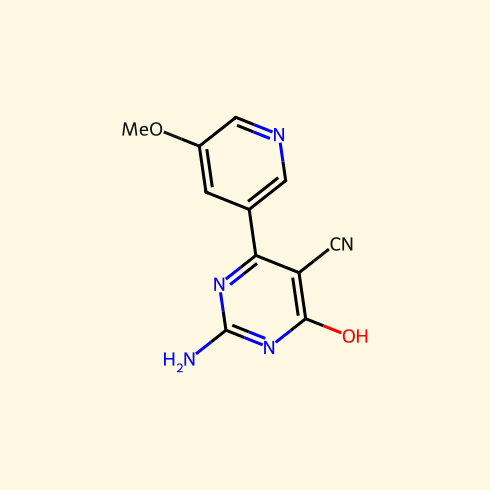 COc1cncc(-c2nc(N)nc(O)c2C#N)c1